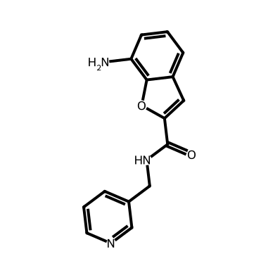 Nc1cccc2cc(C(=O)NCc3cccnc3)oc12